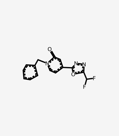 O=c1cc(-c2nnc(C(F)F)o2)ccn1Cc1ccccc1